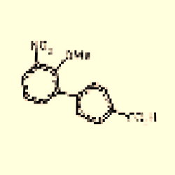 COc1c(-c2ccc(C(=O)O)cc2)cccc1[N+](=O)[O-]